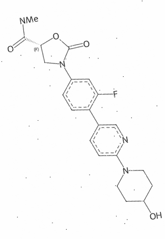 CNC(=O)[C@H]1CN(c2ccc(-c3ccc(N4CCC(O)CC4)nc3)c(F)c2)C(=O)O1